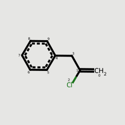 C=C(Cl)Cc1cc[c]cc1